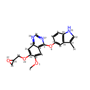 COc1cc2c(Oc3ccc4[nH]cc(C)c4c3)ncnc2cc1OCC1CO1